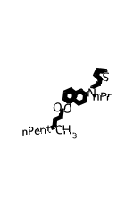 CCCCCC(C)CCC(=O)Oc1cccc2c1CCC(N(CCC)CCc1cccs1)C2